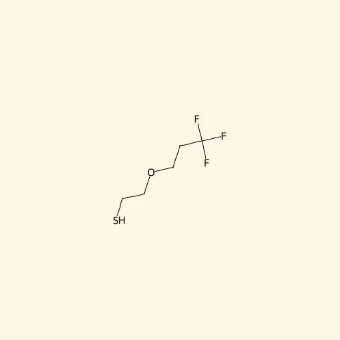 FC(F)(F)CCOCCS